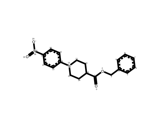 O=C(OCc1ccccc1)C1CCN(c2ccc([N+](=O)[O-])cc2)CC1